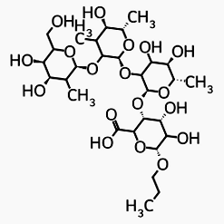 CCCO[C@@H]1OC(C(=O)O)[C@H](O[C@@H]2O[C@@H](C)[C@H](O)C(O)C2O[C@@H]2O[C@@H](C)[C@H](O)C(C)C2O[C@@H]2OC(CO)[C@H](O)[C@H](O)C2C)[C@H](O)C1O